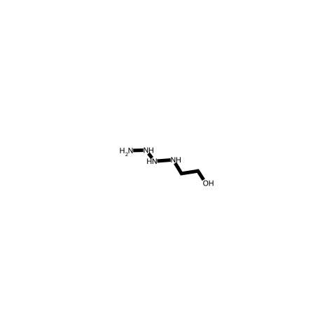 NNNNCCO